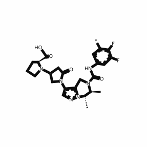 C[C@H]1[C@H](C)n2ncc(N3CC(N4CCC[C@H]4C(=O)O)CC3=O)c2CN1C(=O)Nc1cc(F)c(F)c(F)c1